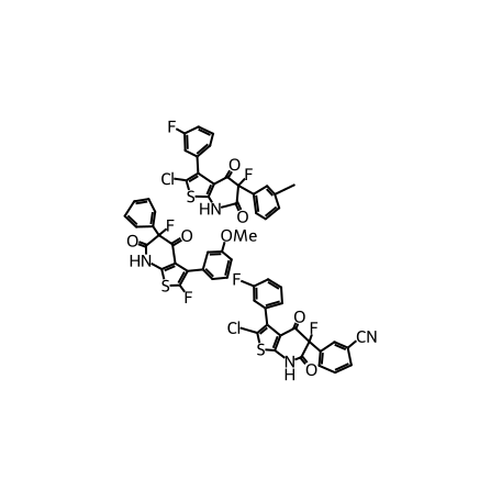 COc1cccc(-c2c(F)sc3c2C(=O)C(F)(c2ccccc2)C(=O)N3)c1.Cc1cccc(C2(F)C(=O)Nc3sc(Cl)c(-c4cccc(F)c4)c3C2=O)c1.N#Cc1cccc(C2(F)C(=O)Nc3sc(Cl)c(-c4cccc(F)c4)c3C2=O)c1